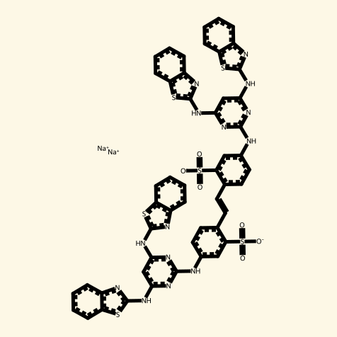 O=S(=O)([O-])c1cc(Nc2nc(Nc3nc4ccccc4s3)cc(Nc3nc4ccccc4s3)n2)ccc1C=Cc1ccc(Nc2nc(Nc3nc4ccccc4s3)cc(Nc3nc4ccccc4s3)n2)cc1S(=O)(=O)[O-].[Na+].[Na+]